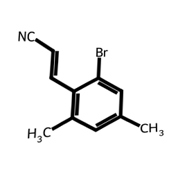 Cc1cc(C)c(C=CC#N)c(Br)c1